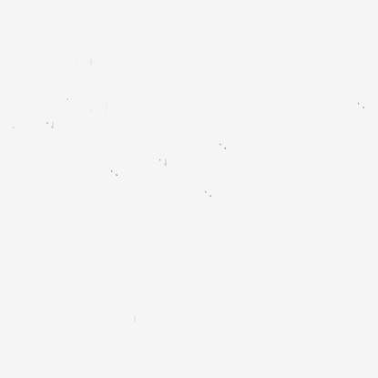 CCCCc1cc(N2CC[C@H](N(C(=O)O)C(C)(C)C)C2)nc(Nc2cccc(C#N)c2)n1